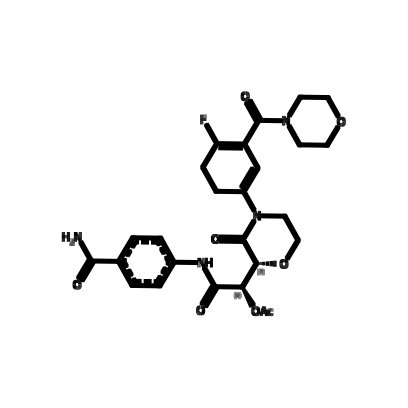 CC(=O)O[C@@H](C(=O)Nc1ccc(C(N)=O)cc1)[C@H]1OCCN(C2=CC(C(=O)N3CCOCC3)=C(F)CC2)C1=O